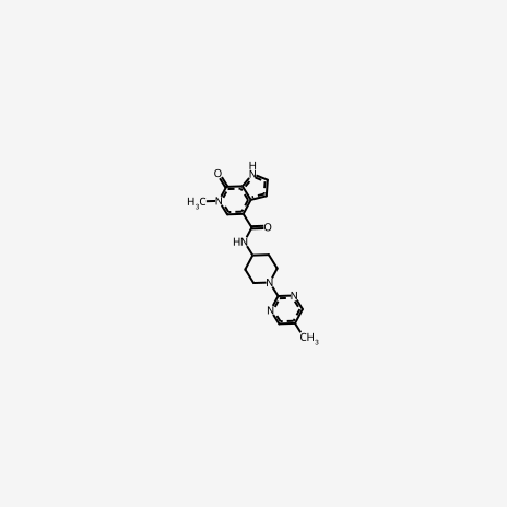 Cc1cnc(N2CCC(NC(=O)c3cn(C)c(=O)c4[nH]ccc34)CC2)nc1